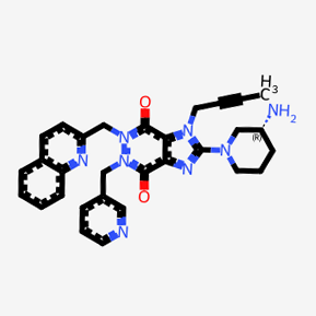 CC#CCn1c(N2CCC[C@@H](N)C2)nc2c(=O)n(Cc3cccnc3)n(Cc3ccc4ccccc4n3)c(=O)c21